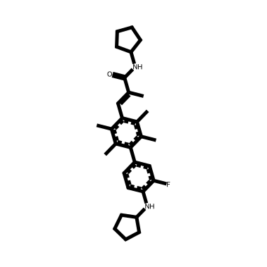 C/C(=C\c1c(C)c(C)c(-c2ccc(NC3CCCC3)c(F)c2)c(C)c1C)C(=O)NC1CCCC1